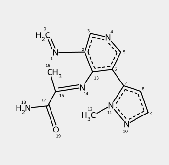 C=Nc1cncc(-c2ccnn2C)c1/N=C(\C)C(N)=O